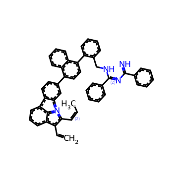 C=Cc1c(/C=C\C)n2c3cc(-c4ccc(-c5ccccc5CN/C(=N\C(=N)c5ccccc5)c5ccccc5)c5ccccc45)ccc3c3cccc1c32